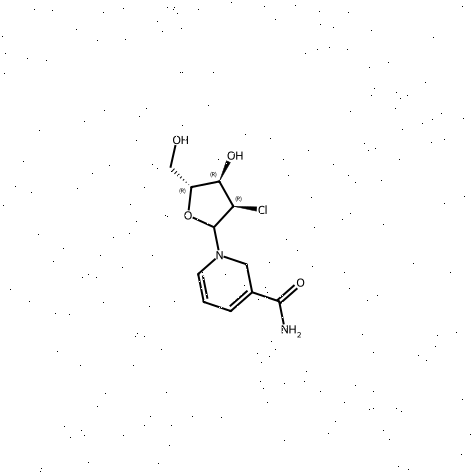 NC(=O)C1=CC=CN(C2O[C@H](CO)[C@@H](O)[C@H]2Cl)C1